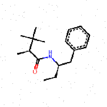 CC[C@H](Cc1ccccc1)NC(=O)[C@@H](C)C(C)(C)C